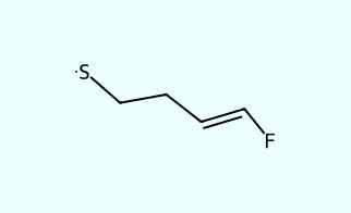 FC=CCC[S]